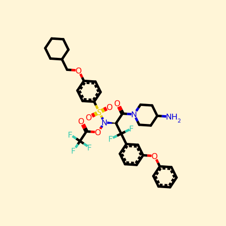 NC1CCN(C(=O)[C@H](N(OC(=O)C(F)(F)F)S(=O)(=O)c2ccc(OCC3CCCCC3)cc2)C(F)(F)c2cccc(Oc3ccccc3)c2)CC1